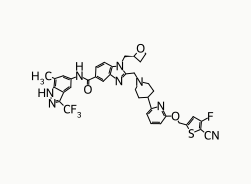 Cc1cc(NC(=O)c2ccc3c(c2)nc(CN2CCC(c4cccc(OCc5cc(F)c(C#N)s5)n4)CC2)n3C[C@@H]2CCO2)cc2c(C(F)(F)F)n[nH]c12